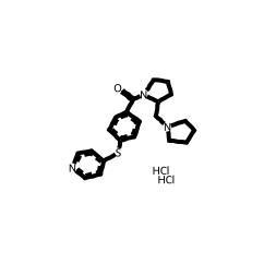 Cl.Cl.O=C(c1ccc(Sc2ccncc2)cc1)N1CCCC1CN1CCCC1